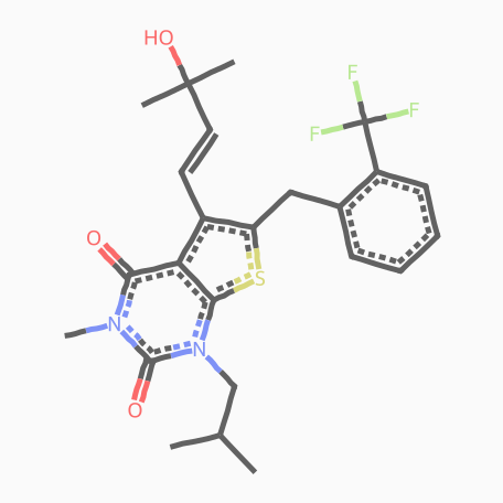 CC(C)Cn1c(=O)n(C)c(=O)c2c(C=CC(C)(C)O)c(Cc3ccccc3C(F)(F)F)sc21